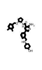 Cc1ccc(CO[C@H]2CCC[C@@H]2NC(=O)c2cc(-c3cccc(CNC4CCC(O)CC4)c3)cnc2N)cc1C